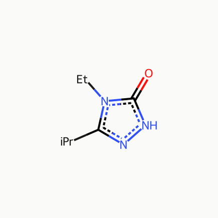 CCn1c(C(C)C)n[nH]c1=O